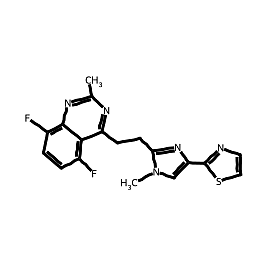 Cc1nc(CCc2nc(-c3nccs3)cn2C)c2c(F)ccc(F)c2n1